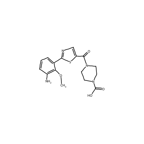 COc1c(N)cccc1-c1ncc(C(=O)N2CCN(C(=O)O)CC2)s1